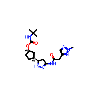 Cn1ncc(CC(=O)NC2=NNC([C@H]3CC[C@@H](OC(=O)NC(C)(C)C)C3)C2)n1